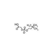 C[N+](C)(C)CCOP(=O)([O-])OCC(=O)O